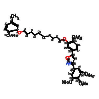 COc1[c]cc(C)cc1OCCCCCCCCCCOc1cc(-c2cc(-c3cc(OC)c(OC)c(OC)c3)no2)ccc1OC